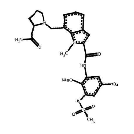 COc1c(NC(=O)c2cc3cccc(CN4CCCC4C(N)=O)c3n2C)cc(C(C)(C)C)cc1NS(C)(=O)=O